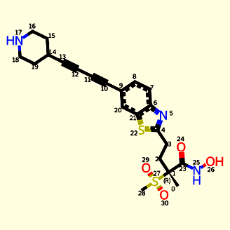 C[C@@](CCc1nc2ccc(C#CC#CC3CCNCC3)cc2s1)(C(=O)NO)S(C)(=O)=O